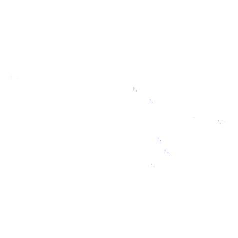 COc1ccc2c(c1)-n1nncc1Cc1c(C#CCc3cccc(OC(F)(F)F)c3)ncn1-2